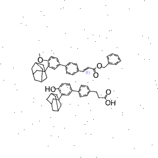 COc1ccc(-c2ccc(/C=C/C(=O)OCc3ccccc3)cc2)cc1C12CC3CC(CC(C3)C1)C2.O=C(O)CCc1ccc(-c2ccc(O)c(C34CC5CC(CC(C5)C3)C4)c2)cc1